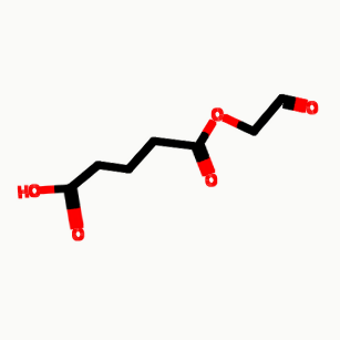 O=CCOC(=O)CCCC(=O)O